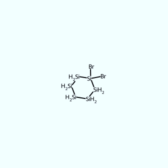 Br[Si]1(Br)[SiH2][SiH2][SiH2][SiH2][SiH2]1